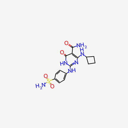 NC(=O)c1c(NC2CCC2)nc(Nc2ccc(S(N)(=O)=O)cc2)[nH]c1=O